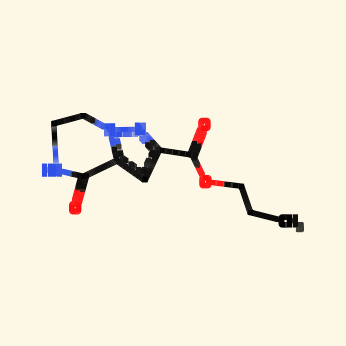 CCCOC(=O)c1cc2n(n1)CCNC2=O